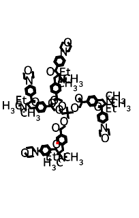 CCC(Cc1ccc(C(=O)COCC(COCC(=O)c2ccc(CC(CC)(C(=O)c3ccc(N4CCOCC4)cc3)N(C)C)cc2)(COCC(=O)c2ccc(CC(CC)(C(=O)c3ccc(N4CCOCC4)cc3)N(C)C)cc2)COCC(=O)c2ccc(CC(CC)(C(=O)c3ccc(N4CCOCC4)cc3)N(C)C)cc2)cc1)(C(=O)c1ccc(N2CCOCC2)cc1)N(C)C